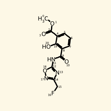 COC(=O)c1cccc(C(=O)Nc2nc(CF)no2)c1O